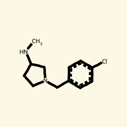 CNC1CCN(Cc2ccc(Cl)cc2)C1